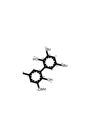 COc1cc(C)cc(-c2cc(C(C)(C)C)cc(C(C)(C)C)c2O)c1O